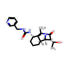 CC(O)[C@H]1C(=O)N2C(C(=O)O)=C3[C@@H](NC(=O)NCc4cccnc4)CCC[C@@H]3[C@H]12